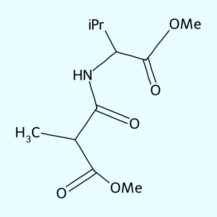 COC(=O)C(C)C(=O)NC(C(=O)OC)C(C)C